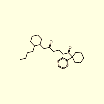 CCCCC1CCCCC1CC(=O)CCCC(=O)C1(c2ccccc2)CCCCC1